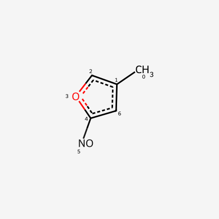 Cc1coc(N=O)c1